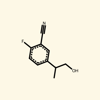 C[C](CO)c1ccc(F)c(C#N)c1